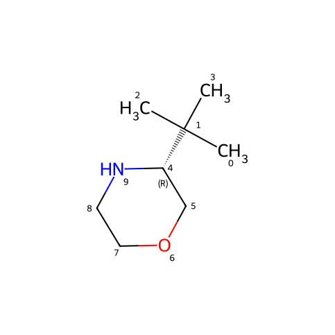 CC(C)(C)[C@@H]1COCCN1